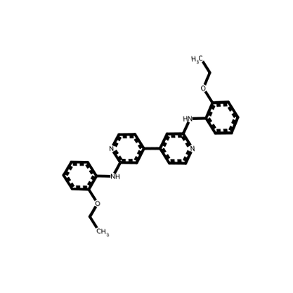 CCOc1ccccc1Nc1cc(-c2ccnc(Nc3ccccc3OCC)c2)ccn1